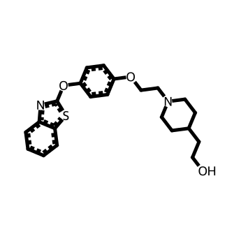 OCCC1CCN(CCOc2ccc(Oc3nc4ccccc4s3)cc2)CC1